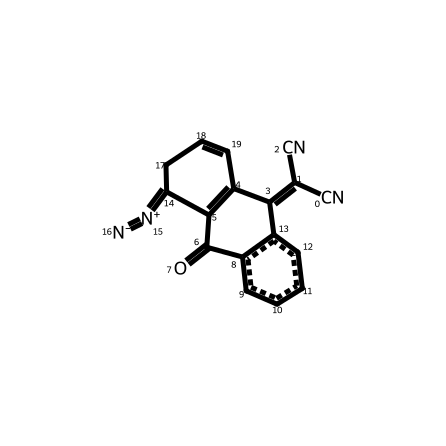 N#CC(C#N)=C1C2=C(C(=O)c3ccccc31)C(=[N+]=[N-])CC=C2